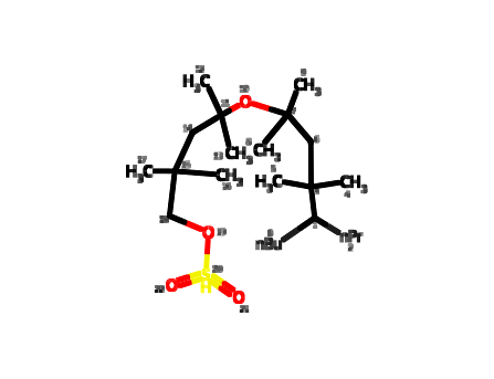 CCCCC(CCC)C(C)(C)CC(C)(C)OC(C)(C)CC(C)(C)CO[SH](=O)=O